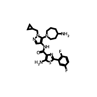 Nc1sc(-c2cc(F)ccc2F)nc1C(=O)Nc1cnn(CC2CC2)c1N1CCCC(N)CC1